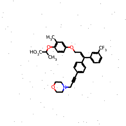 Cc1cc(OC/C=C(\c2ccc(C#CCN3CCOCC3)cc2)c2cccc(C(F)(F)F)c2)ccc1OC(C)C(=O)O